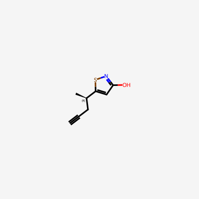 C#CC[C@@H](C)c1cc(O)ns1